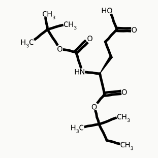 CCC(C)(C)OC(=O)[C@H](CCC(=O)O)NC(=O)OC(C)(C)C